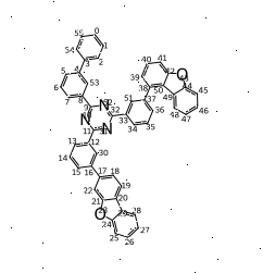 c1ccc(-c2cccc(-c3nc(-c4cccc(-c5ccc6c(c5)oc5ccccc56)c4)nc(-c4cccc(-c5cccc6oc7ccccc7c56)c4)n3)c2)cc1